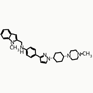 CN1CCN([C@H]2CC[C@@H](n3ccc(-c4ccc(NCc5cc6ccccc6n5C)cc4)n3)CC2)CC1